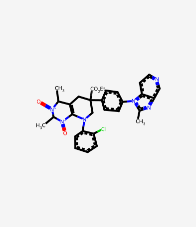 CCOC(=O)C1(c2ccc(-n3c(C)nc4cnccc43)cc2)CC2=C(N(c3ccccc3Cl)C1)[N+](=O)C(C)[N+](=O)C2C